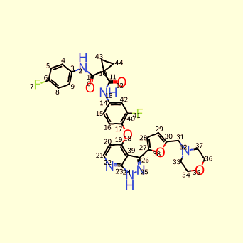 O=C(Nc1ccc(F)cc1)C1(C(=O)Nc2ccc(Oc3ccnc4[nH]nc(-c5ccc(CN6CCOCC6)o5)c34)c(F)c2)CC1